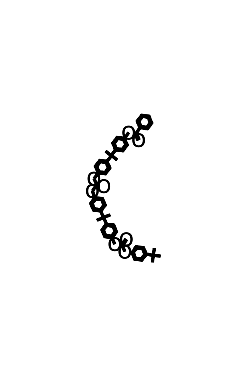 CC(C)(C)c1ccc(OC(=O)Oc2ccc(C(C)(C)c3ccc(OC(=O)Oc4ccc(C(C)(C)c5ccc(OC(=O)c6ccccc6)cc5)cc4)cc3)cc2)cc1